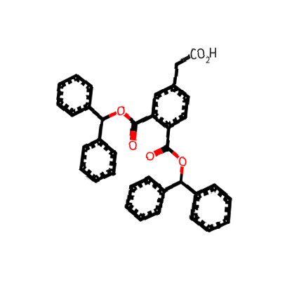 O=C(O)Cc1ccc(C(=O)OC(c2ccccc2)c2ccccc2)c(C(=O)OC(c2ccccc2)c2ccccc2)c1